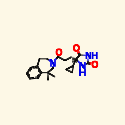 CC1(C)CN(C(=O)CC[C@@]2(C3CC3)NC(=O)NC2=O)CCc2ccccc21